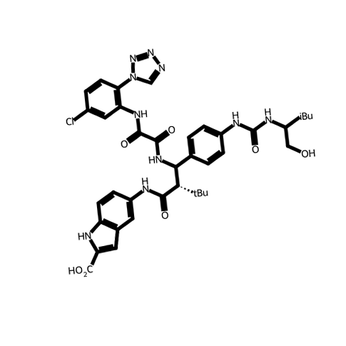 CCC(C)C(CO)NC(=O)Nc1ccc(C(NC(=O)C(=O)Nc2cc(Cl)ccc2-n2cnnn2)[C@@H](C(=O)Nc2ccc3[nH]c(C(=O)O)cc3c2)C(C)(C)C)cc1